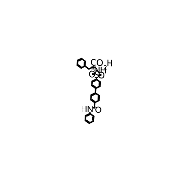 O=C(Nc1ccccc1)c1ccc(-c2ccc(S(=O)(=O)N[C@H](Cc3ccccc3)C(=O)O)cc2)cc1